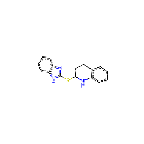 c1ccc2c(c1)CCC(Sc1nc3ccccc3[nH]1)N2